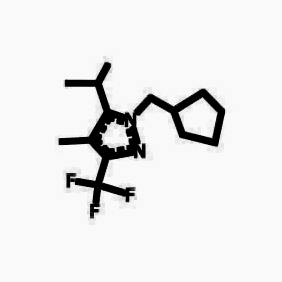 Cc1c(C(F)(F)F)nn(CC2CCCC2)c1C(C)C